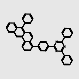 c1ccc(-c2nc(-c3ccccc3)nc(-c3ccc(-c4cccc5c4ccc4c(-c6ccccc6)c6ccccc6cc45)cc3)n2)cc1